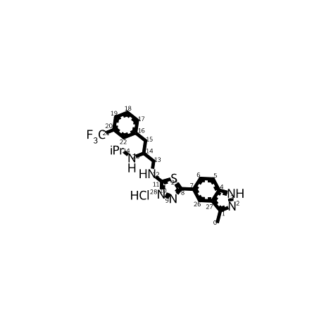 Cc1n[nH]c2ccc(-c3nnc(NCC(Cc4cccc(C(F)(F)F)c4)NC(C)C)s3)cc12.Cl